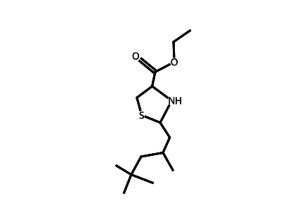 CCOC(=O)C1CSC(CC(C)CC(C)(C)C)N1